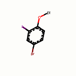 CCOc1ccc(Br)cc1I